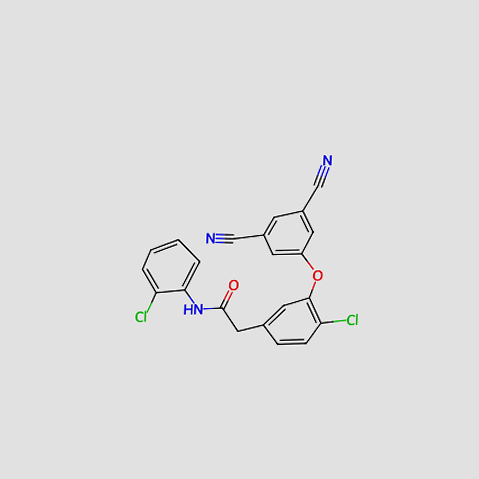 N#Cc1cc(C#N)cc(Oc2cc(CC(=O)Nc3ccccc3Cl)ccc2Cl)c1